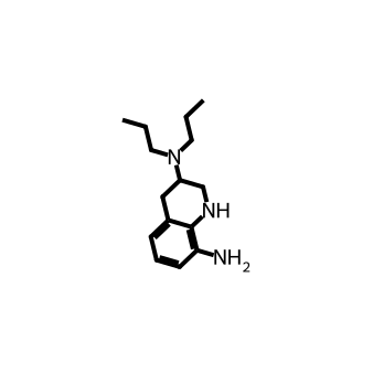 CCCN(CCC)C1CNc2c(N)cccc2C1